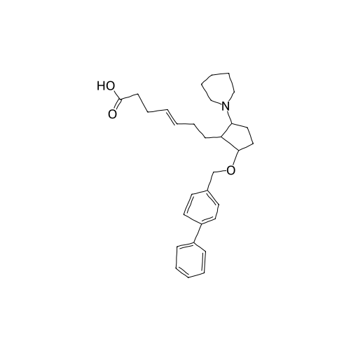 O=C(O)CC/C=C/CCC1C(OCc2ccc(-c3ccccc3)cc2)CCC1N1CCCCC1